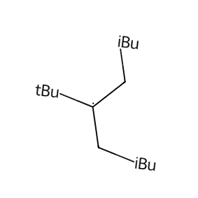 CCC(C)C[C](CC(C)CC)C(C)(C)C